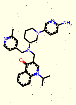 Cc1cc(CN(Cc2cn(C(C)C)c3ccccc3c2=O)[C@H]2CCCN(c3ccc(N)nc3)C2)ccn1